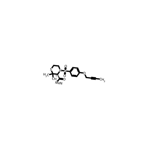 CC#CCOc1ccc(S(=O)(=O)N2CCSC(C)(C)[C@@H]2C(=O)NC)cc1